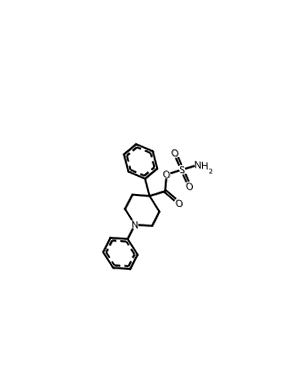 NS(=O)(=O)OC(=O)C1(c2ccccc2)CCN(c2ccccc2)CC1